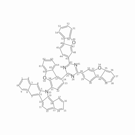 c1ccc2cc3c(cc2c1)c1ccc2ccccc2c1n3-c1ccc(-c2nc(-c3ccc4c(c3)oc3ccccc34)nc(-c3ccc4c(c3)oc3ccccc34)n2)c2c1oc1ccccc12